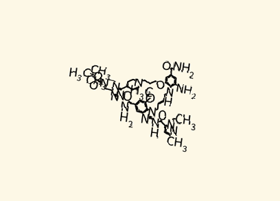 CCn1nc(C)cc1C(=O)Nc1nc2cc(C(N)=O)cc(OC)c2n1C/C=C/CNc1c(N)cc(C(N)=O)cc1OCCCN1CCC(c2nnc3n2CCN(C(=O)OC(C)(C)C)C3)CC1